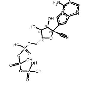 N#C[C@@]1(c2cc3ncnc(N)n3c2)O[C@H](COP(=O)(O)OP(=O)(O)OP(=O)(O)O)[C@@H](O)[C@H]1O